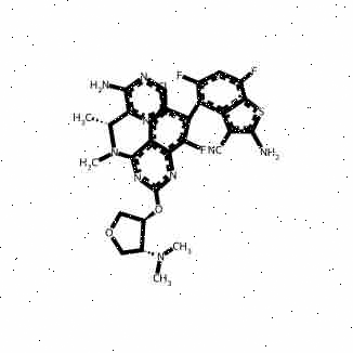 C[C@H](c1nccnc1N)N(C)c1nc(O[C@@H]2COC[C@H]2N(C)C)nc2c(F)c(-c3c(F)cc(F)c4sc(N)c(C#N)c34)c(Cl)cc12